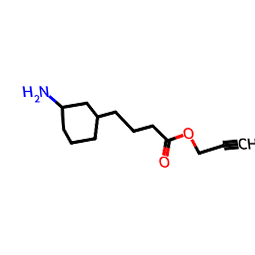 C#CCOC(=O)CCCC1CCCC(N)C1